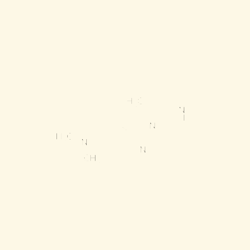 CC(c1ccc[nH]1)n1ccnc1SCCN(C)C